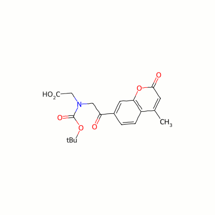 Cc1cc(=O)oc2cc(C(=O)CN(CC(=O)O)C(=O)OC(C)(C)C)ccc12